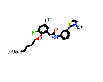 CCCCCCCCCCCCCCOc1c(F)cccc1CC(=O)Nc1cccc(-c2scc[n+]2CC)c1.[Cl-]